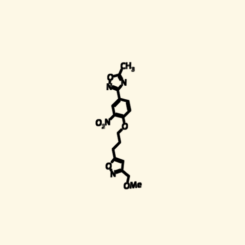 COCc1cc(CCCOc2ccc(-c3noc(C)n3)cc2[N+](=O)[O-])on1